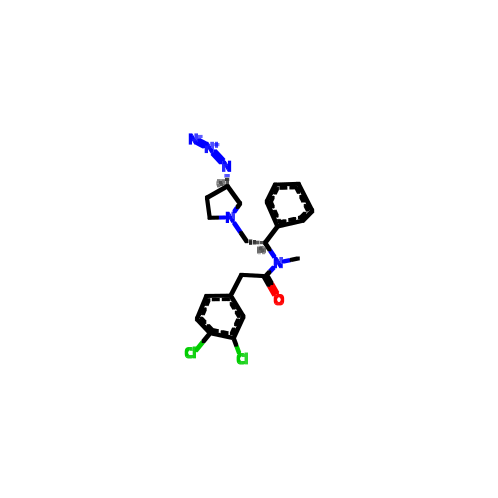 CN(C(=O)Cc1ccc(Cl)c(Cl)c1)[C@H](CN1CC[C@H](N=[N+]=[N-])C1)c1ccccc1